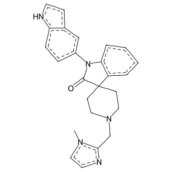 Cn1ccnc1CN1CCC2(CC1)C(=O)N(c1ccc3[nH]ccc3c1)c1ccccc12